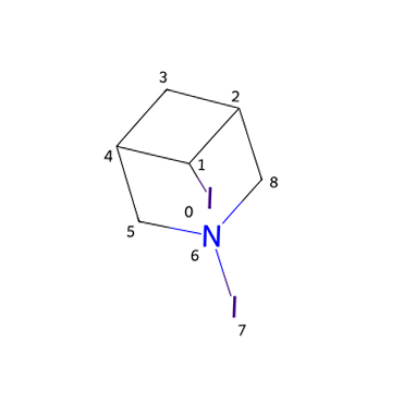 IC1C2CC1CN(I)C2